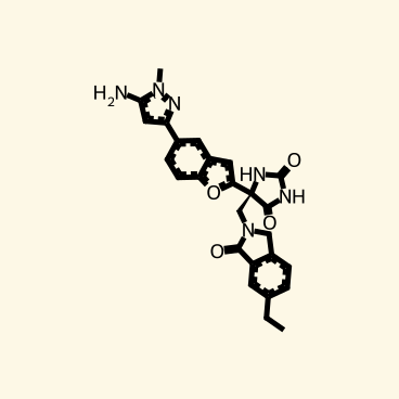 CCc1ccc2c(c1)C(=O)N(C[C@@]1(c3cc4cc(-c5cc(N)n(C)n5)ccc4o3)NC(=O)NC1=O)C2